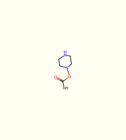 CCCC(=O)ON1CCNCC1